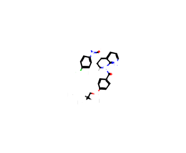 CCN(C(=O)[C@H]1C[C@H](C)N(C(=O)c2ccc(OCC(C)(C)C(=O)O)cc2)c2ncccc21)c1ccc(Cl)cc1